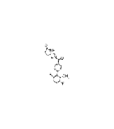 Cc1c(F)ccc(F)c1-c1ccc(C(=O)N2CC3(CCC(=O)N3)C2)cc1